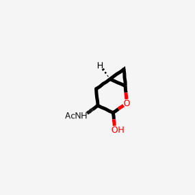 CC(=O)NC1C[C@H]2CC2OC1O